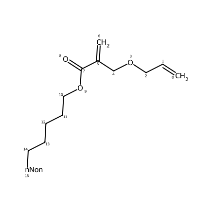 C=CCOCC(=C)C(=O)OCCCCCCCCCCCCCC